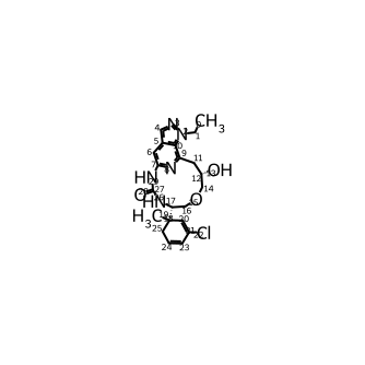 CCn1ncc2cc3nc(c21)C[C@H](O)COC[C@H](C1(C)C=C(Cl)C=CC1)NC(=O)N3